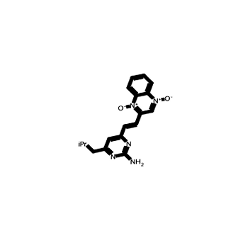 CC(C)Cc1cc(C=Cc2c[n+]([O-])c3ccccc3[n+]2[O-])nc(N)n1